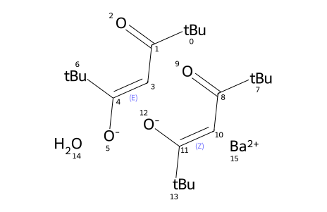 CC(C)(C)C(=O)/C=C(/[O-])C(C)(C)C.CC(C)(C)C(=O)/C=C(\[O-])C(C)(C)C.O.[Ba+2]